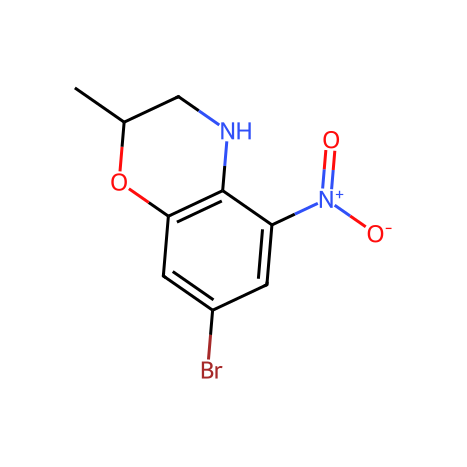 CC1CNc2c(cc(Br)cc2[N+](=O)[O-])O1